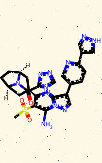 CS(=O)(=O)c1c([C@H]2C[C@H]3CC[C@@H](C2)N3C(=O)c2nnc[nH]2)nc2c(-c3ccc(-c4cn[nH]c4)nc3)cnn2c1N